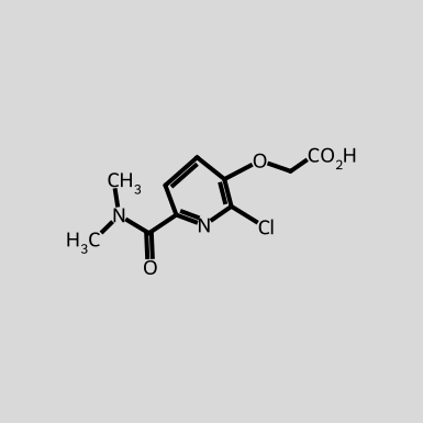 CN(C)C(=O)c1ccc(OCC(=O)O)c(Cl)n1